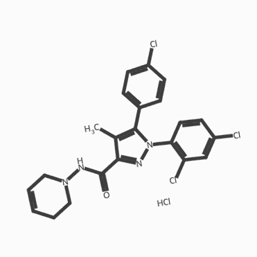 Cc1c(C(=O)NN2CC=CCC2)nn(-c2ccc(Cl)cc2Cl)c1-c1ccc(Cl)cc1.Cl